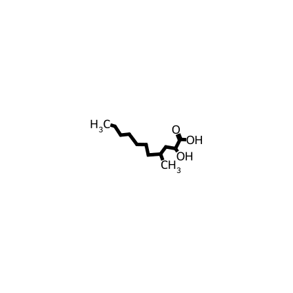 CCCCCCCC(C)CC(O)C(=O)O